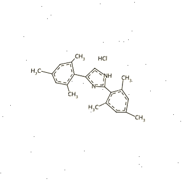 Cc1cc(C)c(-c2c[nH]c(-c3c(C)cc(C)cc3C)n2)c(C)c1.Cl